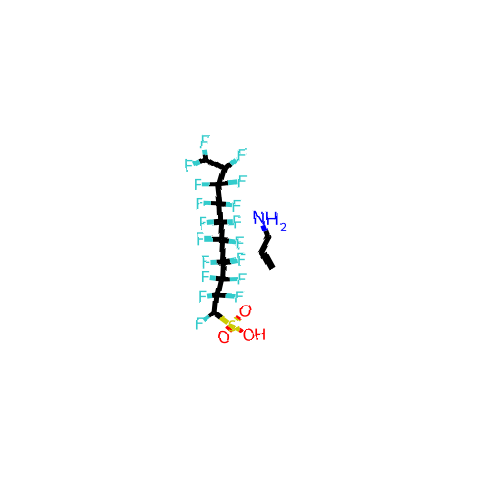 C=CCN.O=S(=O)(O)C(F)C(F)(F)C(F)(F)C(F)(F)C(F)(F)C(F)(F)C(F)(F)C(F)(F)C(F)C(F)F